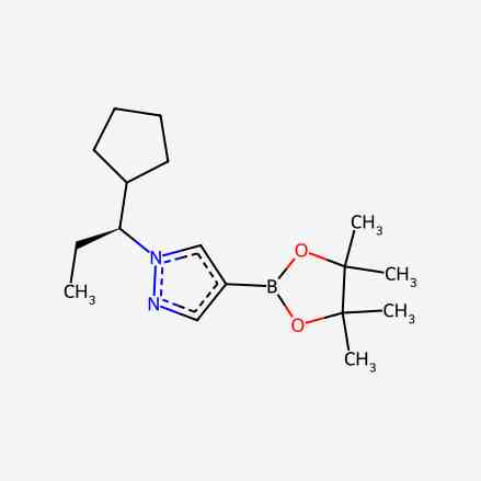 CC[C@@H](C1CCCC1)n1cc(B2OC(C)(C)C(C)(C)O2)cn1